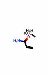 C=CC(N)=O.CC(=O)O.[NaH]